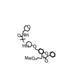 COCCCN1C(=O)[C@](C)(c2ccccc2)Oc2ccc(CO[C@@H]3CC[C@@H](CC(C)(C)C(=O)NCC4CCOCC4)NC3)cc21